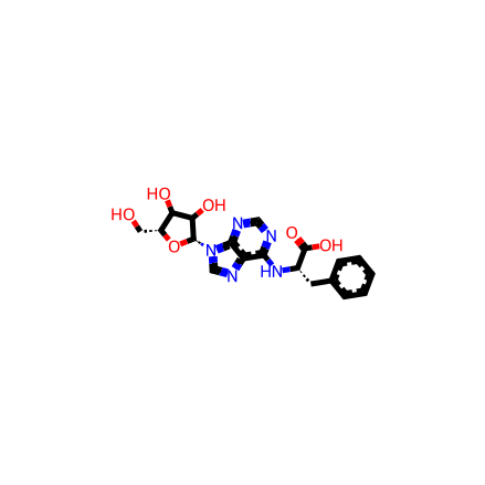 O=C(O)[C@H](Cc1ccccc1)Nc1ncnc2c1ncn2[C@@H]1O[C@H](CO)C(O)C1O